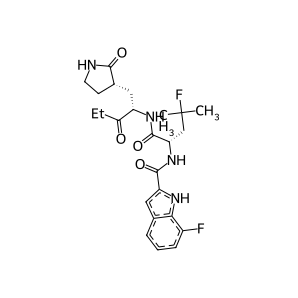 CCC(=O)[C@H](C[C@@H]1CCNC1=O)NC(=O)[C@H](CC(C)(C)F)NC(=O)c1cc2cccc(F)c2[nH]1